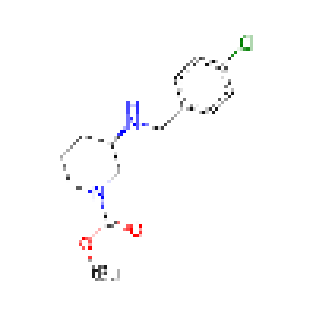 CC(C)(C)OC(=O)N1CCC[C@@H](NCc2ccc(Cl)cc2)C1